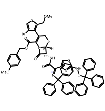 COCc1scc(Br)c1C1=C(C(=O)OCc2ccc(OC)cc2)N2C(=O)[C@@H](NC(=O)/C(=N/C(c3ccccc3)(c3ccccc3)c3ccccc3)c3csc(NOC(c4ccccc4)(c4ccccc4)c4ccccc4)n3)[C@H]2SC1